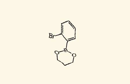 Brc1ccccc1B1OCCCO1